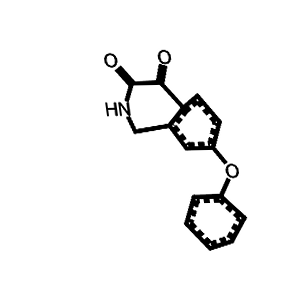 O=C1NCc2cc(Oc3ccccc3)ccc2C1=O